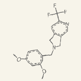 COc1ccc(CN2Cc3cnc(C(F)(F)F)cc3C2)c(OC)c1